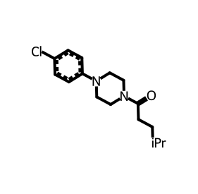 CC(C)CCC(=O)N1CCN(c2ccc(Cl)cc2)CC1